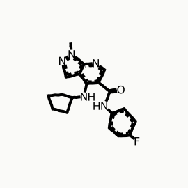 Cn1ncc2c(NC3CCCC3)c(C(=O)Nc3ccc(F)cc3)cnc21